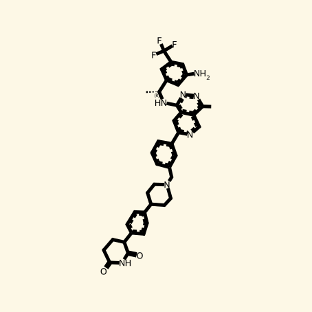 Cc1nnc(N[C@H](C)c2cc(N)cc(C(F)(F)F)c2)c2cc(-c3cccc(CN4CCC(c5ccc(C6CCC(=O)NC6=O)cc5)CC4)c3)ncc12